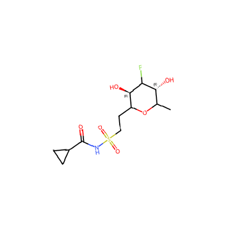 CC1OC(CCS(=O)(=O)NC(=O)C2CC2)[C@@H](O)C(F)[C@@H]1O